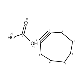 C1#CCCCCCC1.O=C(O)O